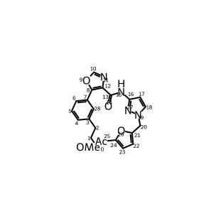 COCCc1cccc(-c2ocnc2C(=O)Nc2ccn(Cc3ccc(C(C)=O)o3)n2)c1